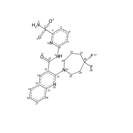 NS(=O)(=O)c1cccc(NC(=O)c2cc3ccccc3nc2N2CCCC(F)(F)CC2)n1